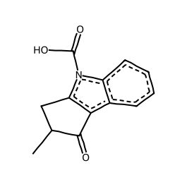 CC1Cc2c(c3ccccc3n2C(=O)O)C1=O